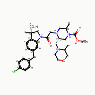 CC1COCCN1C[C@H]1CN(C(=O)OC(C)(C)C)C(C)CN1CC(=O)N1C[C@@](C)(C(=O)O)c2ccc(Cc3ccc(F)cc3)cc21